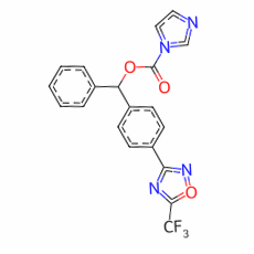 O=C(OC(c1ccccc1)c1ccc(-c2noc(C(F)(F)F)n2)cc1)n1ccnc1